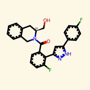 O=C(c1cccc(F)c1-c1cc(-c2ccc(F)cc2)[nH]n1)N1Cc2ccccc2C[C@H]1CO